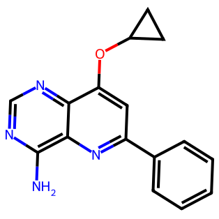 Nc1ncnc2c(OC3CC3)cc(-c3ccccc3)nc12